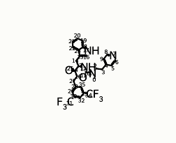 CN(CCc1ccncc1)C(=O)NC(Cc1c[nH]c2ccccc12)C(=O)CCc1cc(C(F)(F)F)cc(C(F)(F)F)c1